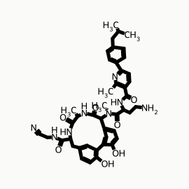 Cc1nc(-c2ccc(CC(C)C)cc2)ccc1C(=O)NC(CCN)C(=O)N(C)C1C(=O)NC(C)C(=O)NC(C(=O)NCC#N)Cc2ccc(O)c(c2)-c2cc1ccc2O